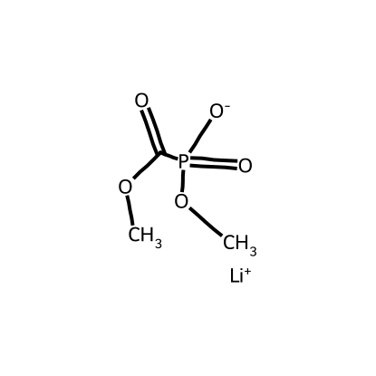 COC(=O)P(=O)([O-])OC.[Li+]